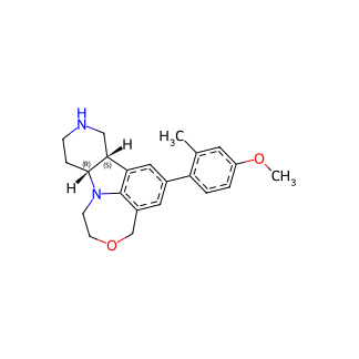 COc1ccc(-c2cc3c4c(c2)[C@H]2CNCC[C@H]2N4CCOC3)c(C)c1